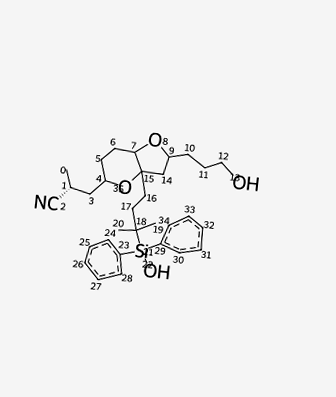 C[C@@H](C#N)CC1CCC2OC(CCCO)CC2(CCC(C)(C)[Si](O)(c2ccccc2)c2ccccc2)O1